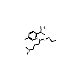 CCN=C=NCCCN(C)C.Cc1ccc([C@H](C)N)nc1